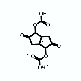 O=C(O)OC1C(=O)CC2C(OC(=O)O)C(=O)CC12